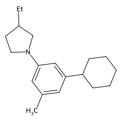 CCC1CCN(c2cc(C)cc(C3CCCCC3)c2)C1